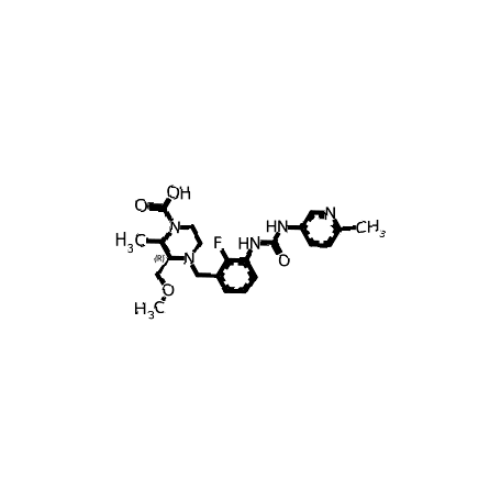 COC[C@H]1C(C)N(C(=O)O)CCN1Cc1cccc(NC(=O)Nc2ccc(C)nc2)c1F